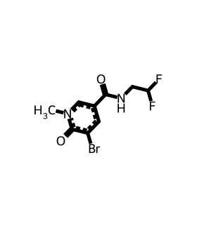 Cn1cc(C(=O)NCC(F)F)cc(Br)c1=O